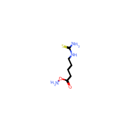 NOC(=O)CCCCNC(N)=S